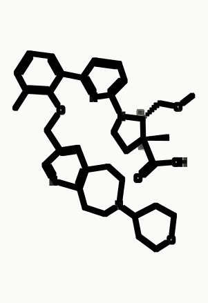 COC[C@H]1N(c2cccc(-c3cccc(C)c3OCc3cnc4c(c3)CCN(C3CCOCC3)CC4)n2)CC[C@@]1(C)C(=O)O